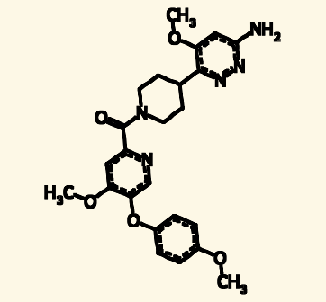 COc1ccc(Oc2cnc(C(=O)N3CCC(c4nnc(N)cc4OC)CC3)cc2OC)cc1